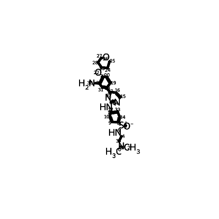 CN(C)CCN[S+]([O-])c1ccc(Nc2nccc(-c3ccc(OC4CCOCC4)c(N)c3)n2)cc1